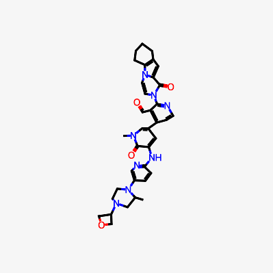 CC1CN(C2COC2)CCN1c1ccc(Nc2cc(-c3ccnc(-n4ccn5c6c(cc5c4=O)CCCC6)c3C=O)cn(C)c2=O)nc1